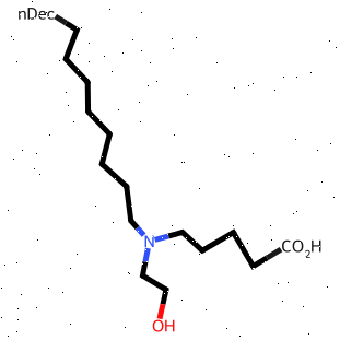 CCCCCCCCCCCCCCCCCCN(CCO)CCCCC(=O)O